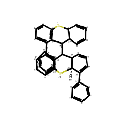 C1=CC2Sc3cccc(-c4ccccc4)c3C(C3C4=CCCC=C4S[C@@H]4C(c5ccccc5)=CC=CC34)C2C=C1